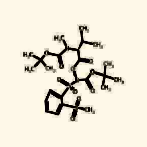 CC(C)[C@@H](C(=O)ON(C(=O)OC(C)(C)C)S(=O)(=O)c1ccccc1S(C)(=O)=O)N(C)C(=O)OC(C)(C)C